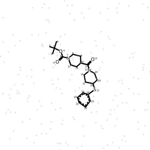 CC(C)(C)OC(=O)N1CCC(C(=O)N2CCC(Sc3ccccc3)CC2)CC1